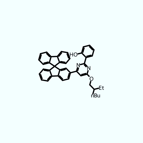 CCCCC(CC)COc1cc(-c2ccc3c(c2)C2(c4ccccc4-c4ccccc42)c2ccccc2-3)nc(-c2ccccc2O)n1